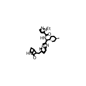 CCn1nccc1C(=O)N[C@H](c1cn2nc(CC3C(=O)NC4CC3C4)ccc2n1)[C@H]1CC[C@H](C)CC1